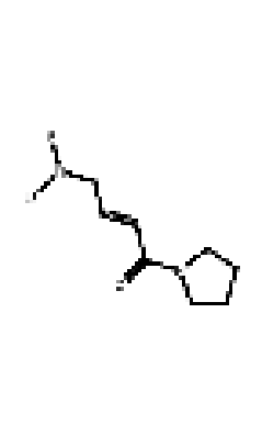 CCN(CC)C/C=C/C(=O)N1CCCC1